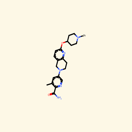 Cc1cc(N2CCc3nc(OC4CCN(C(C)C)CC4)ccc3C2)cnc1C(N)=O